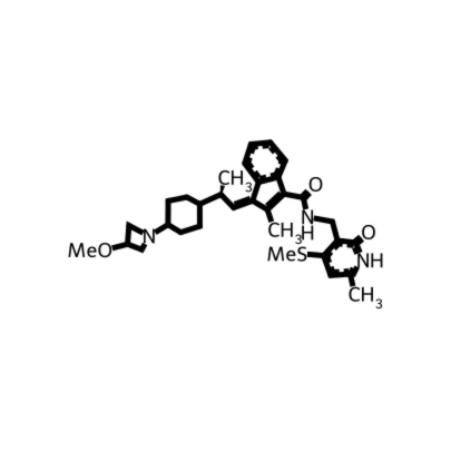 COC1CN(C2CCC([C@@H](C)/C=C3/C(C)=C(C(=O)NCc4c(SC)cc(C)[nH]c4=O)c4ccccc43)CC2)C1